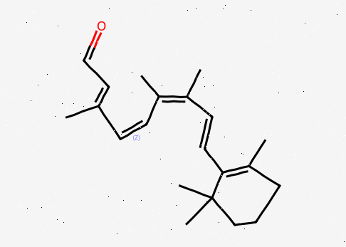 CC(=CC=O)/C=C\C(C)=C(C)C=CC1=C(C)CCCC1(C)C